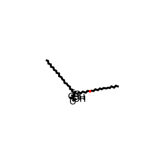 CCC(=O)O.CCCCCCCCCCCCCCCCCCCCSC(C)(SCCCCCCCCCCCCCCCCCCCC)C(=O)O